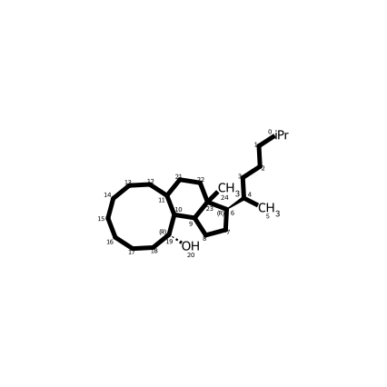 CC(C)CCCC(C)[C@H]1CCC2C3C(CCCCCCC[C@H]3O)CCC21C